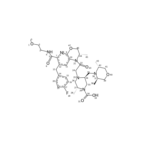 COCCNC(=O)c1nc2c(cc1Cc1ccc(F)cc1)N(C(=O)CN1C[C@@H](C)N(C(=O)O)C[C@@H]1CN1[C@H](C)COC[C@H]1C)[C@@H](C)CO2